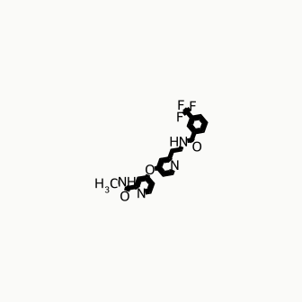 CNC(=O)c1cc(Oc2ccnc(CCNC(=O)c3cccc(C(F)(F)F)c3)c2)ccn1